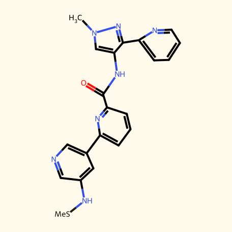 CSNc1cncc(-c2cccc(C(=O)Nc3cn(C)nc3-c3ccccn3)n2)c1